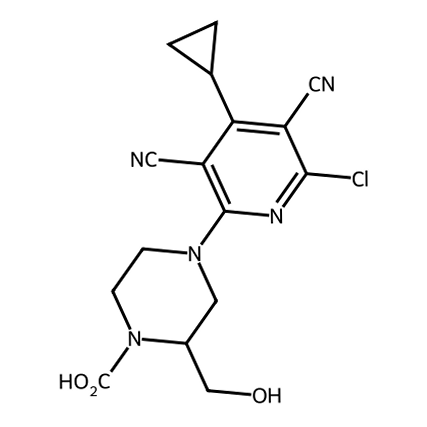 N#Cc1c(Cl)nc(N2CCN(C(=O)O)C(CO)C2)c(C#N)c1C1CC1